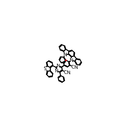 N#Cc1cc(-c2nc(-c3cccc4sc5ccccc5c34)nc(-c3ccccc3)c2C#N)ccc1-n1c2ccccc2c2ccc3c4ccccc4n(-c4ccccc4)c3c21